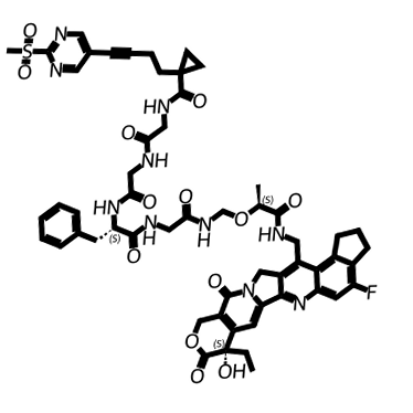 CC[C@@]1(O)C(=O)OCc2c1cc1n(c2=O)Cc2c-1nc1cc(F)c3c(c1c2CNC(=O)[C@H](C)OCNC(=O)CNC(=O)[C@H](Cc1ccccc1)NC(=O)CNC(=O)CNC(=O)C1(CCC#Cc2cnc(S(C)(=O)=O)nc2)CC1)CCC3